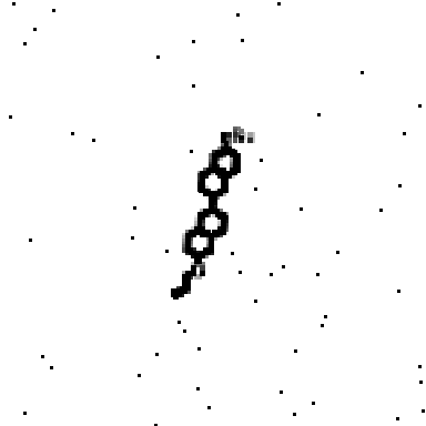 C=CCOC1CCC2CC(C3CCc4cc(CCCC)ccc4C3)CCC2C1